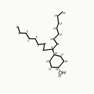 CCCCCCCCC(CCCCCCC)[C@H]1CC[C@H](O)CC1